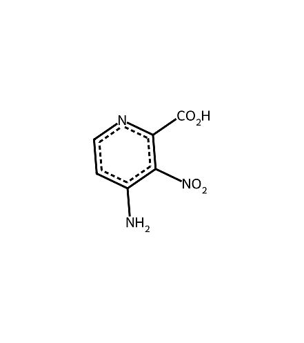 Nc1ccnc(C(=O)O)c1[N+](=O)[O-]